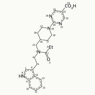 CCC(=O)N(CCc1c[nH]c2ccccc12)CC1CCN(c2ncc(C(=O)O)cn2)CC1